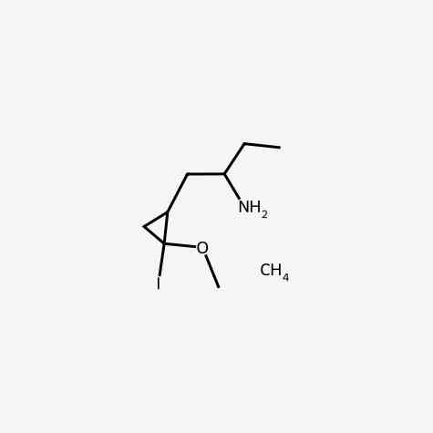 C.CCC(N)CC1CC1(I)OC